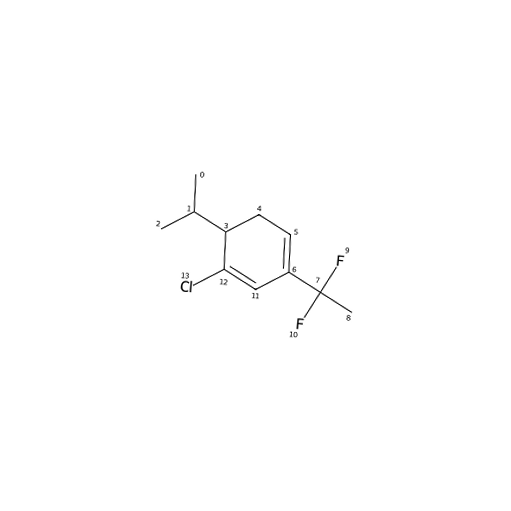 CC(C)C1CC=C(C(C)(F)F)C=C1Cl